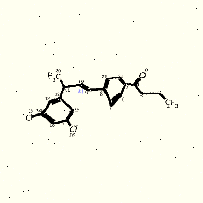 O=C(CCC(F)(F)F)c1ccc(/C=C/C(c2cc(Cl)cc(Cl)c2)C(F)(F)F)cc1